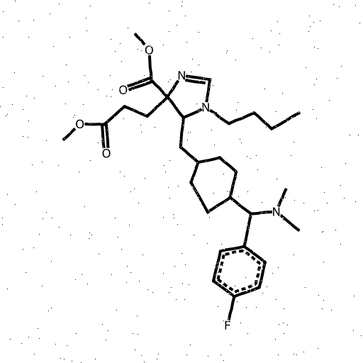 CCCCN1C=NC(CCC(=O)OC)(C(=O)OC)C1CC1CCC(C(c2ccc(F)cc2)N(C)C)CC1